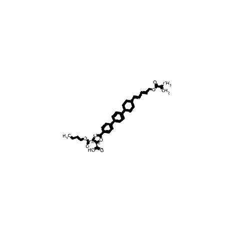 C=C(C)C(=O)OCCCCCC1CCC(c2ccc(-c3ccc(C4O[C@@H](C(=O)O)[C@H](C(=O)OCCCC)O4)cc3)cc2)CC1